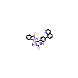 O=C1NC(=O)[C@](CN2Cc3ccccc3C2=O)(c2ccc(-c3cccc4cccnc34)cc2)N1